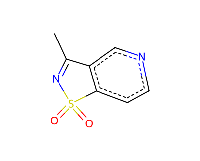 CC1=NS(=O)(=O)c2ccncc21